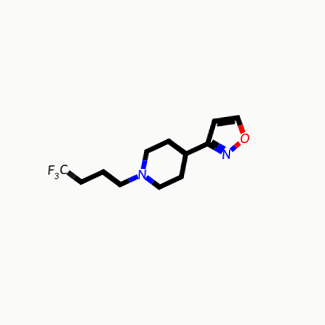 FC(F)(F)CCCN1CCC(c2ccon2)CC1